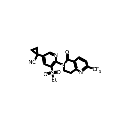 CCS(=O)(=O)c1cc(C2(C#N)CC2)cnc1N1CCc2nc(C(F)(F)F)ccc2C1=O